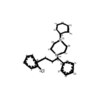 Clc1ccccc1C[CH]C(c1ccccc1)N1CCN(C2CCCCC2)CC1